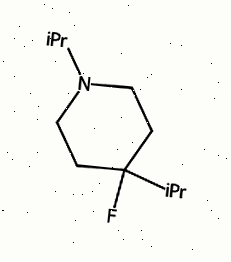 CC(C)N1CCC(F)(C(C)C)CC1